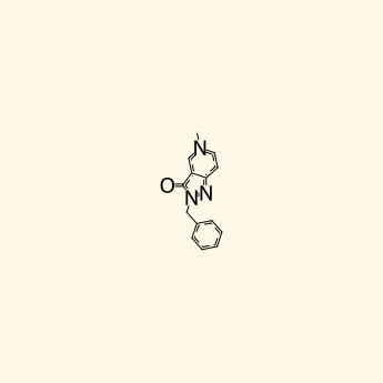 Cn1ccc2nn(Cc3ccccc3)c(=O)c-2c1